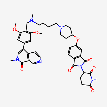 COc1cc(-c2cn(C)c(=O)c3cnccc23)cc(OC)c1CN(C)CCCCN1CCC(Oc2ccc3c(c2)C(=O)N(C2CCC(=O)NC2=O)C3=O)CC1